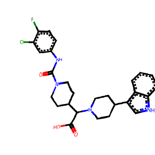 O=C(O)C(C1CCN(C(=O)Nc2ccc(F)c(Cl)c2)CC1)N1CCC(c2c[nH]c3ccccc23)CC1